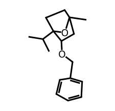 CC(C)C12CCC(C)(CC1OCc1ccccc1)O2